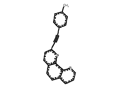 Cc1ccc(C#Cc2ccc3ccc4cccnc4c3n2)cc1